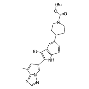 CCc1c(-c2cc(C)c3ncnn3c2)[nH]c2ccc(C3CCN(C(=O)OC(C)(C)C)CC3)cc12